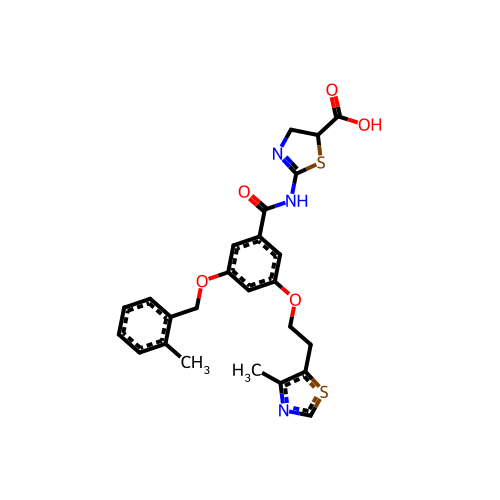 Cc1ccccc1COc1cc(OCCc2scnc2C)cc(C(=O)NC2=NCC(C(=O)O)S2)c1